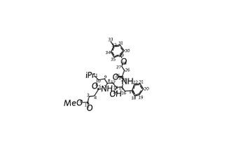 COC(=O)CCC(=O)NC(CCC(C)C)CC(O)C(Cc1ccccc1)NC(=O)CCOc1ccc(C)cc1